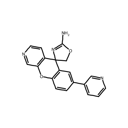 NC1=NC2(CO1)c1ccncc1Oc1ccc(-c3cccnc3)cc12